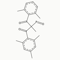 Cc1cc(C)c(C(=O)C(C)(P=O)C(=O)c2c(C)cccc2C)c(C)c1